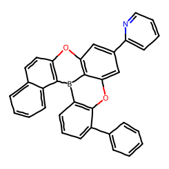 c1ccc(-c2cccc3c2Oc2cc(-c4ccccn4)cc4c2B3c2c(ccc3ccccc23)O4)cc1